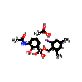 CC(=O)Nc1cccc([As](=O)(O)OCc2c(C)cc(C)cc2I)c1O.CC(=O)O